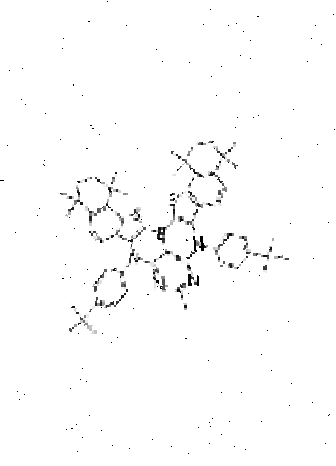 Cc1nc2c3c(n1)N(c1ccc(C(C)(C)C)cc1)c1c(sc4c5c(ccc14)C(C)(C)CCC5(C)C)B3c1sc3c4c(ccc3c1N2c1ccc(C(C)(C)C)cc1)C(C)(C)CCC4(C)C